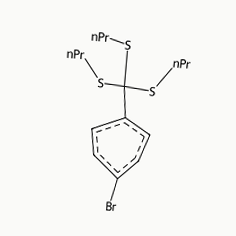 CCCSC(SCCC)(SCCC)c1ccc(Br)cc1